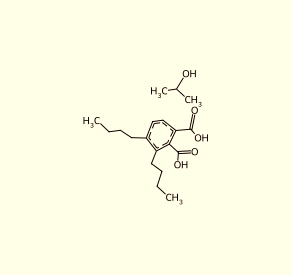 CC(C)O.CCCCc1ccc(C(=O)O)c(C(=O)O)c1CCCC